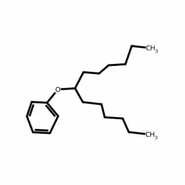 CCCCCCC(CCCCCC)Oc1ccccc1